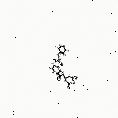 O=C1CC(N2Cc3c(NC(=O)OCc4ccccc4)cccc3C2=O)CC(=O)O1